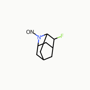 O=NN1C2CC3CC(C2)C(F)C1C3